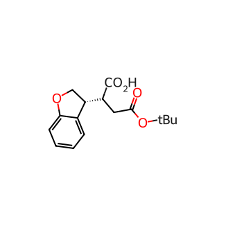 CC(C)(C)OC(=O)CC(C(=O)O)[C@H]1COc2ccccc21